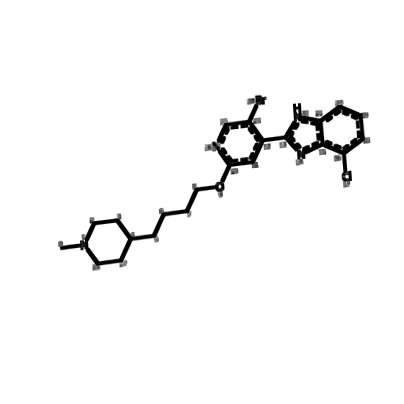 CN1CCC(CCCCOc2cc(-c3nc4c(Cl)cccc4[nH]3)c(Br)cn2)CC1